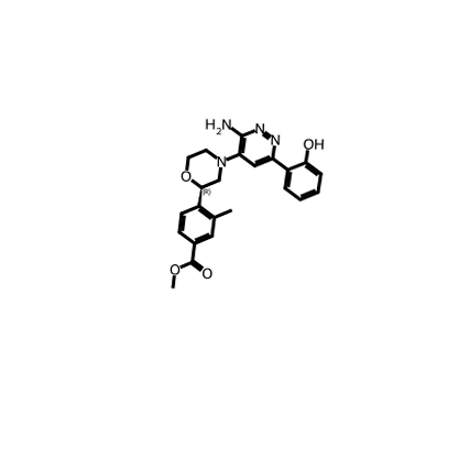 COC(=O)c1ccc([C@@H]2CN(c3cc(-c4ccccc4O)nnc3N)CCO2)c(C)c1